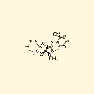 Cn1nc(Cc2c(F)cccc2Cl)n(CC2CCCCCC2)c1=O